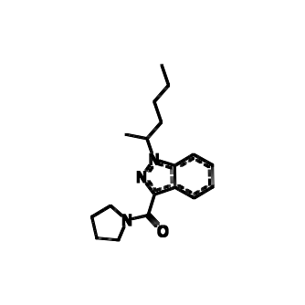 CCCCC(C)n1nc(C(=O)N2CCCC2)c2ccccc21